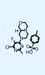 Cc1ccc(S(=O)(=O)O)cc1.Cc1nc(Cl)c(F)c(N2CCN3CCOC[C@@H]3C2)n1